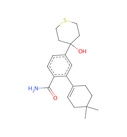 CC1(C)CC=C(c2cc(C3(O)CCSCC3)ccc2C(N)=O)CC1